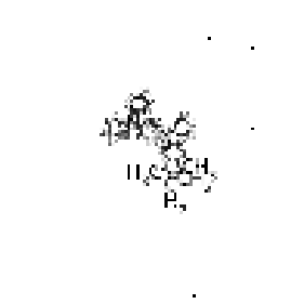 CC1=C(C)C(C)(C)c2cc3c4ccccc4n(-c4ccc5c(c4)c4ccccc4n5-c4ccccc4)c3cc21